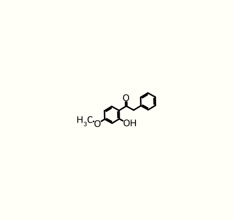 COc1ccc(C(=O)Cc2ccccc2)c(O)c1